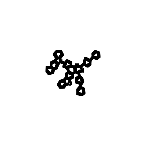 c1ccc(-c2ccc(-c3nc(-c4ccc(-c5ccccc5)cc4)nc(-c4ccc(-n5c6ccccc6c6cc7ccccc7cc65)cc4-c4ccc5oc6ccccc6c5c4)n3)cc2)cc1